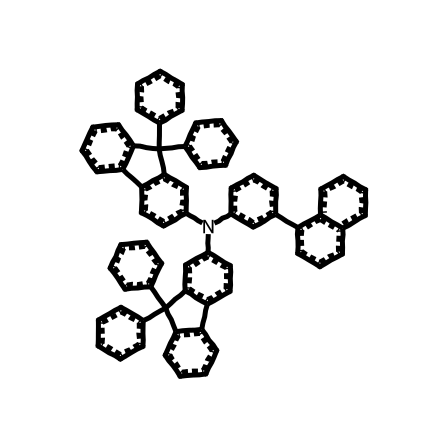 c1ccc(C2(c3ccccc3)c3ccccc3-c3ccc(N(c4cccc(-c5cccc6ccccc56)c4)c4ccc5c(c4)C(c4ccccc4)(c4ccccc4)c4ccccc4-5)cc32)cc1